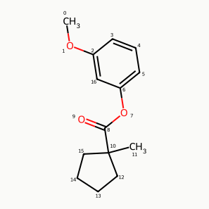 COc1cccc(OC(=O)C2(C)CCCC2)c1